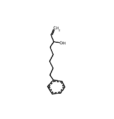 C=CC(O)CCCCCc1ccccc1